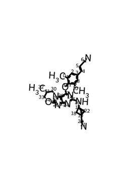 Cc1cc(/C=C/C#N)cc(C)c1Oc1nc(NC23CC(C#N)(C2)C3)nc2nc3n(c12)C[C@H](C)CO3